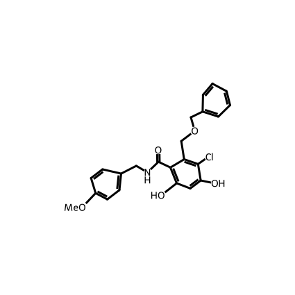 COc1ccc(CNC(=O)c2c(O)cc(O)c(Cl)c2COCc2ccccc2)cc1